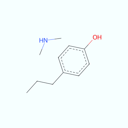 CCCc1ccc(O)cc1.CNC